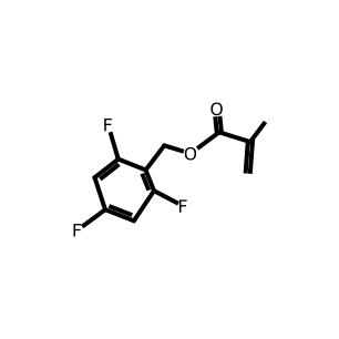 C=C(C)C(=O)OCc1c(F)cc(F)cc1F